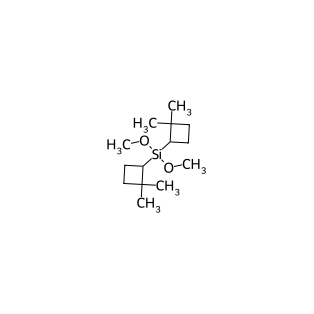 CO[Si](OC)(C1CCC1(C)C)C1CCC1(C)C